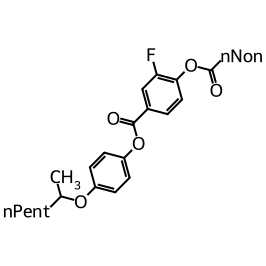 CCCCCCCCCC(=O)Oc1ccc(C(=O)Oc2ccc(OC(C)CCCCC)cc2)cc1F